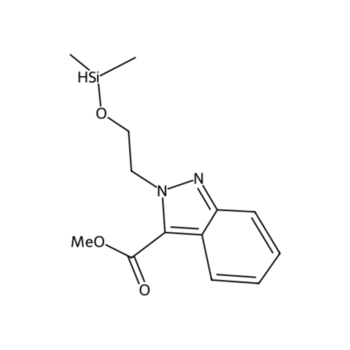 COC(=O)c1c2ccccc2nn1CCO[SiH](C)C